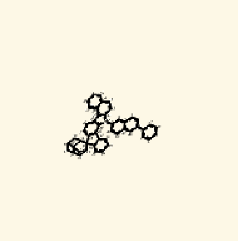 c1ccc(-c2ccc3cc(-n4c5ccc6ccccc6c5c5ccc6c(c54)-c4ccccc4C64C5CC6CC(C5)CC4C6)ccc3c2)cc1